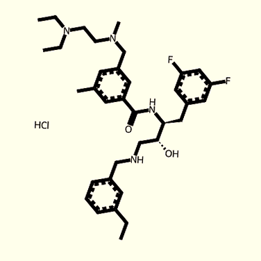 CCc1cccc(CNC[C@@H](O)[C@H](Cc2cc(F)cc(F)c2)NC(=O)c2cc(C)cc(CN(C)CCN(CC)CC)c2)c1.Cl